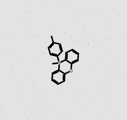 Cc1ccc(S2(C)c3ccccc3Oc3ccccc32)cc1